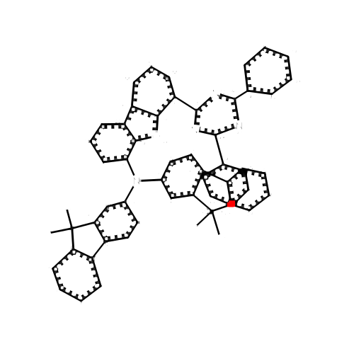 CC1(C)c2ccccc2-c2ccc(N(c3ccc4c(c3)C(C)(C)c3ccccc3-4)c3cccc4c3oc3c(-c5nc(-c6ccccc6)nc(-c6ccccc6)n5)cccc34)cc21